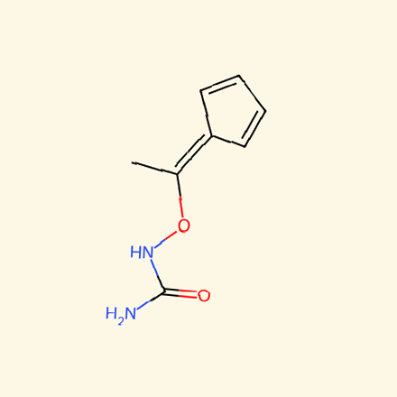 CC(ONC(N)=O)=C1C=CC=C1